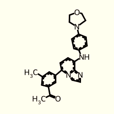 CC(=O)c1cc(C)cc(-c2ccc(Nc3ccc(N4CCOCC4)cc3)c3nccn23)c1